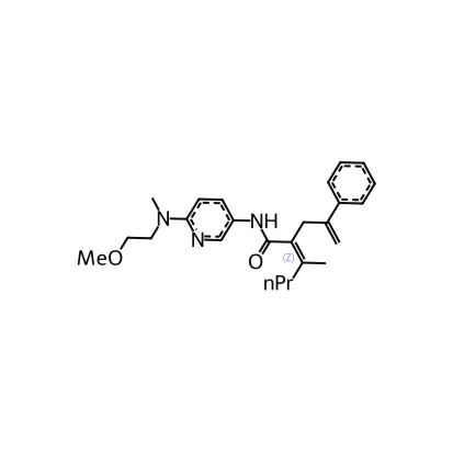 C=C(C/C(C(=O)Nc1ccc(N(C)CCOC)nc1)=C(\C)CCC)c1ccccc1